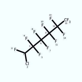 FC(Cl)C(F)(F)C(F)(F)C(F)(F)C(F)(F)C(F)(F)F